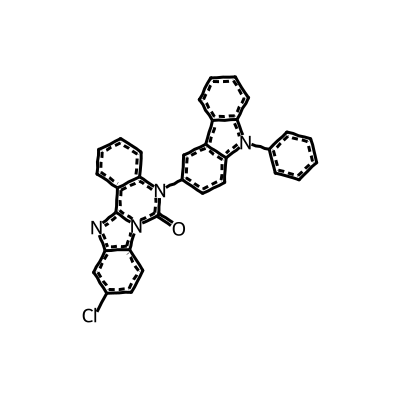 O=c1n(-c2ccc3c(c2)c2ccccc2n3-c2ccccc2)c2ccccc2c2nc3cc(Cl)ccc3n12